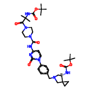 CC(C)(C)OC(=O)N[C@H]1CN(Cc2ccc(-n3ccc(NC(=O)N4CCN(C(=O)C(C)(C)NC(=O)OC(C)(C)C)CC4)nc3=O)cc2)CC12CC2